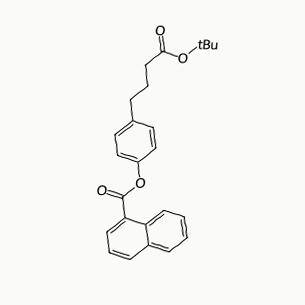 CC(C)(C)OC(=O)CCCc1ccc(OC(=O)c2cccc3ccccc23)cc1